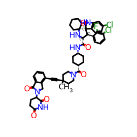 CC1(C#Cc2cccc3c2CN(C2CCC(=O)NC2=O)C3=O)CCN(C(=O)[C@H]2CC[C@H](NC(=O)[C@@H]3NC4(CCCCC4)[C@@]4(C(=O)Nc5cc(Cl)ccc54)[C@H]3c3cccc(Cl)c3F)CC2)CC1